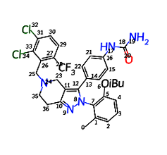 Cc1cccc(OCC(C)C)c1-n1nc2c(c1-c1ccc(NC(N)=O)cc1)CN(Cc1c(C(F)(F)F)ccc(Cl)c1Cl)CC2